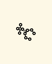 c1ccc(-c2cccc(-c3ccc4c(c3)c3cc(-c5cccc(-c6ccccc6)c5)ccc3n4-c3ccc4c(-c5ccccc5)c5ccccc5c(-c5ccccc5)c4c3)c2)cc1